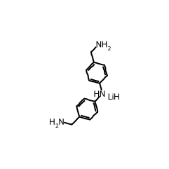 NCc1ccc(Nc2ccc(CN)cc2)cc1.[LiH]